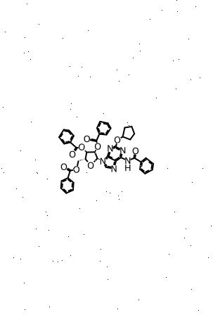 O=C(Nc1nc(OC2CCCC2)nc2c1ncn2[C@@H]1O[C@H](COC(=O)c2ccccc2)[C@@H](OC(=O)c2ccccc2)[C@H]1OC(=O)c1ccccc1)c1ccccc1